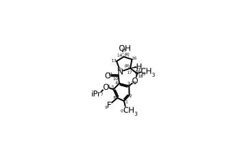 Cc1cc2c(c(OC(C)C)c1F)C(=O)N1C[C@H](O)C[C@@H]1[C@@H](C)O2